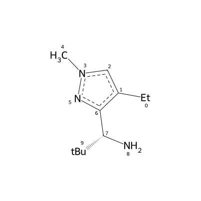 CCc1cn(C)nc1[C@H](N)C(C)(C)C